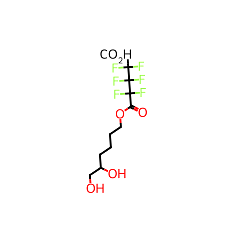 O=C(O)C(F)(F)C(F)(F)C(F)(F)C(=O)OCCCCC(O)CO